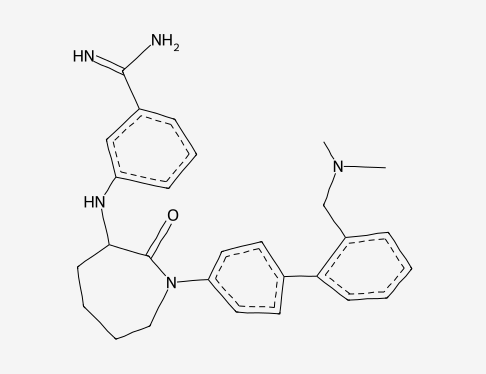 CN(C)Cc1ccccc1-c1ccc(N2CCCCC(Nc3cccc(C(=N)N)c3)C2=O)cc1